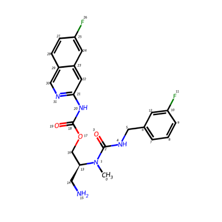 CN(C(=O)NCc1cccc(F)c1)[C@@H](CN)COC(=O)Nc1cc2cc(F)ccc2cn1